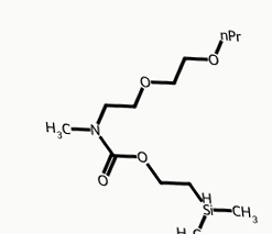 CCCOCCOCCN(C)C(=O)OCC[SiH](C)C